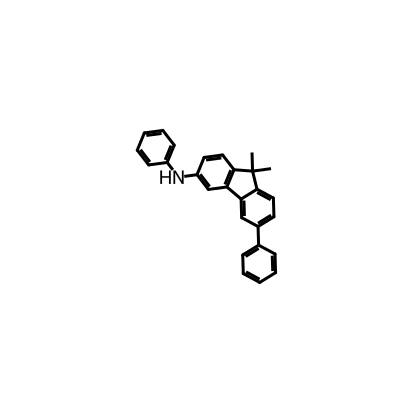 CC1(C)c2ccc(Nc3ccccc3)cc2-c2cc(-c3ccccc3)ccc21